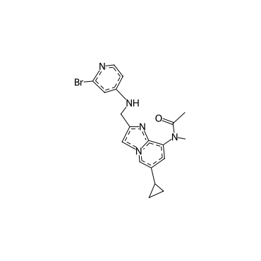 CC(=O)N(C)c1cc(C2CC2)cn2cc(CNc3ccnc(Br)c3)nc12